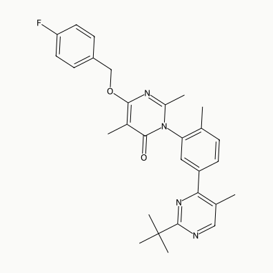 Cc1ccc(-c2nc(C(C)(C)C)ncc2C)cc1-n1c(C)nc(OCc2ccc(F)cc2)c(C)c1=O